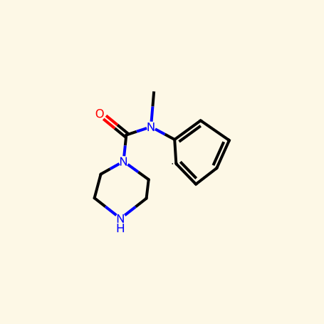 CN(C(=O)N1CCNCC1)c1[c]cccc1